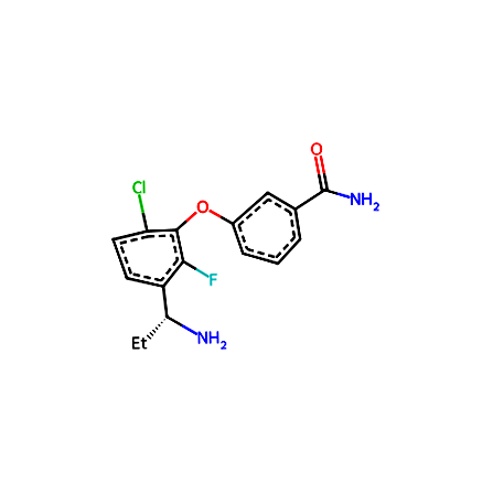 CC[C@@H](N)c1ccc(Cl)c(Oc2cccc(C(N)=O)c2)c1F